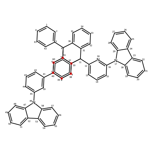 c1ccc(C23c4ccccc4C(c4cccc(-n5c6ccccc6c6ccccc65)n4)(c4ccccc42)c2ccc(-c4cccc(-n5c6ccccc6c6ccccc65)c4)cc23)cc1